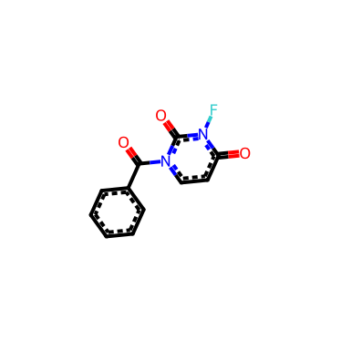 O=C(c1ccccc1)n1ccc(=O)n(F)c1=O